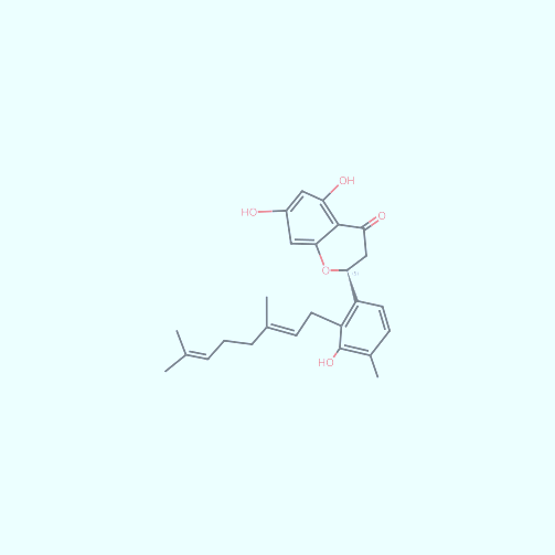 CC(C)=CCC/C(C)=C/Cc1c([C@@H]2CC(=O)c3c(O)cc(O)cc3O2)ccc(C)c1O